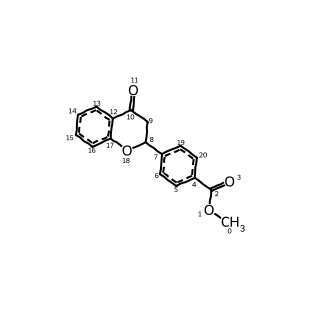 COC(=O)c1ccc(C2CC(=O)c3ccccc3O2)cc1